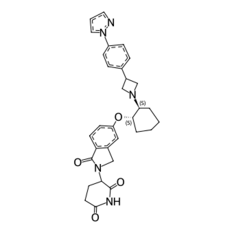 O=C1CCC(N2Cc3cc(O[C@H]4CCCC[C@@H]4N4CC(c5ccc(-n6cccn6)cc5)C4)ccc3C2=O)C(=O)N1